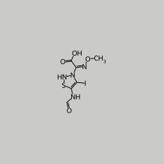 CON=C(C(=O)O)N1NSC(NC=O)=C1I